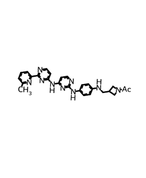 CC(=O)N1CC(CNc2ccc(Nc3nccc(Nc4ccnc(-c5cccc(C)n5)n4)n3)cc2)C1